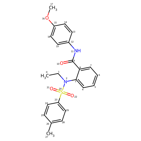 CCN(c1ccccc1C(=O)Nc1ccc(OC)cc1)S(=O)(=O)c1ccc(C)cc1